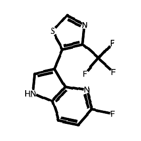 Fc1ccc2[nH]cc(-c3scnc3C(F)(F)F)c2n1